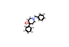 c1ccc(CN2CCC3(c4ccccc4)OC3C2)cc1